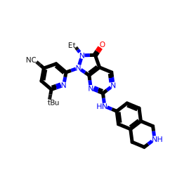 CCn1c(=O)c2cnc(Nc3ccc4c(c3)CCNC4)nc2n1-c1cc(C#N)cc(C(C)(C)C)n1